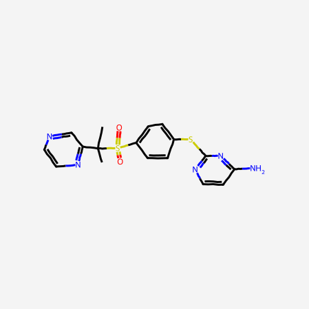 CC(C)(c1cnccn1)S(=O)(=O)c1ccc(Sc2nccc(N)n2)cc1